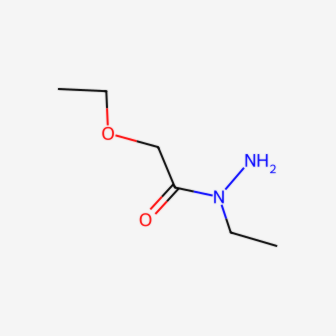 CCOCC(=O)N(N)CC